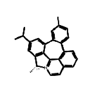 Cc1ccc2c(c1)-c1cc(C(C)C)cc3c1-c1c4c-2cccc4cc[n+]1[C@@H]3C